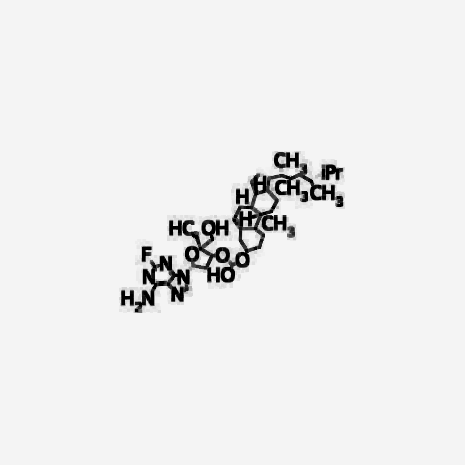 C#C[C@]1(CO)O[C@@H](n2cnc3c(N)nc(F)nc32)C[C@@H]1OC(O)O[C@H]1CC[C@@]2(C)C(=CC[C@H]3[C@@H]4CC[C@H]([C@H](C)CC[C@@H](C)C(C)C)[C@@]4(C)CC[C@@H]32)C1